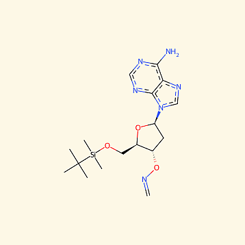 C=NO[C@H]1C[C@H](n2cnc3c(N)ncnc32)O[C@@H]1CO[Si](C)(C)C(C)(C)C